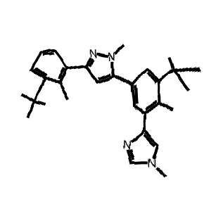 Cc1c(-c2cn(C)cn2)cc(-c2cc(-c3cccc(C(C)(C)C)c3C)nn2C)cc1C(C)(C)C